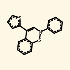 C1=C(c2cccs2)c2ccccc2SN1c1ccccc1